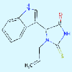 C=CCN1C(=S)NC(=O)C1c1c[nH]c2ccccc12